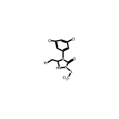 CC(C)CC1NN(SC(Cl)(Cl)Cl)C(=O)N1c1cc(Cl)cc(Cl)c1